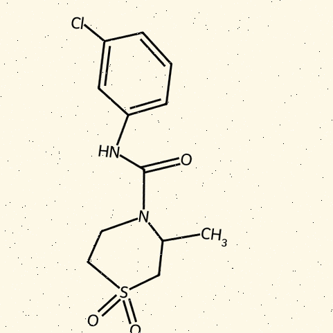 CC1CS(=O)(=O)CCN1C(=O)Nc1cccc(Cl)c1